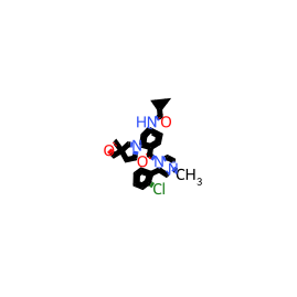 CN1CCN(C(=O)c2ccc(NC(=O)C3CC3)cc2N2CCC3(COC3)C2)C(c2ccccc2Cl)C1